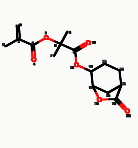 C=C(C)C(=O)OC(C)(C)C(=O)OC1CCC2CC1OC2=O